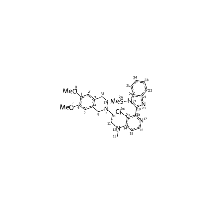 COc1cc2c(cc1OC)CN(CCN(C)c1ccnc(-c3nc4ccccc4n3SC)c1Cl)CC2